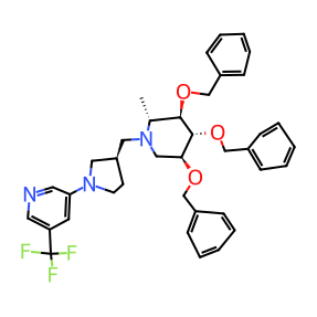 C[C@@H]1[C@@H](OCc2ccccc2)[C@H](OCc2ccccc2)[C@@H](OCc2ccccc2)CN1C[C@H]1CCN(c2cncc(C(F)(F)F)c2)C1